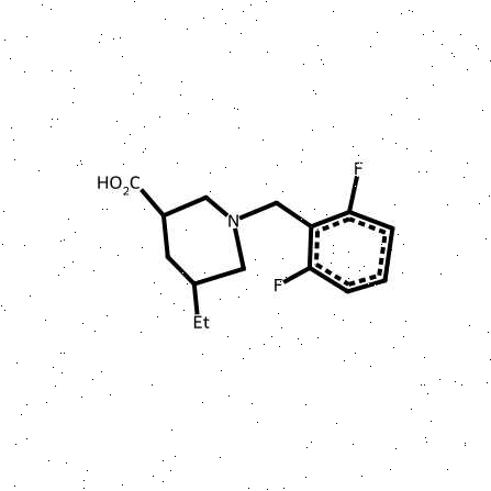 CCC1CC(C(=O)O)CN(Cc2c(F)cccc2F)C1